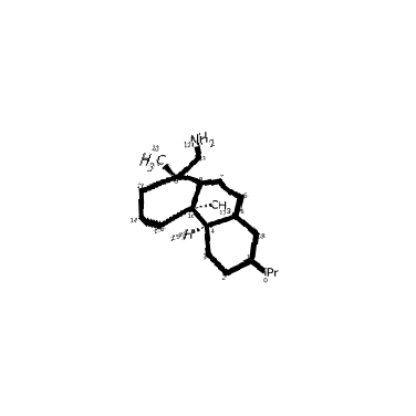 CC(C)C1CC[C@@H]2C(CCC3[C@@](C)(CN)CCC[C@@]32C)C1